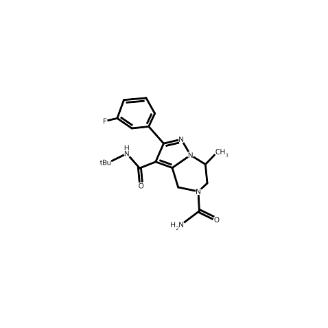 CC1CN(C(N)=O)Cc2c(C(=O)NC(C)(C)C)c(-c3cccc(F)c3)nn21